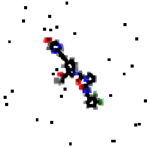 CC(=O)c1cn(CC(=O)N2CCC[C@H]2C(=O)NCc2cccc(Cl)c2F)c2ccc(C#Cc3ncc(O)cn3)cc12